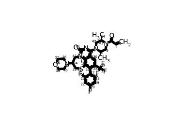 C=CC(=O)N1C[C@H](C)N(c2nc(=O)n3c4c(c(-c5ccc(F)cc5F)c(C(F)(F)F)cc24)SCC(N2CCOCC2)C3)C[C@H]1C